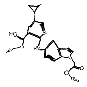 CCCCOC(O)c1cc(C2CC2)cnc1Nc1ccc2c(ccn2C(=O)OC(C)(C)C)c1